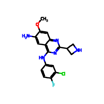 COc1cc2nc(C3CNC3)nc(Nc3ccc(F)c(Cl)c3)c2cc1N